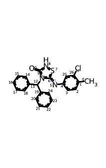 Cc1ccc(/N=c2\s[nH]c(=O)n2C(c2ccccc2)c2ccccc2)cc1Cl